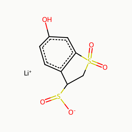 O=S([O-])C1CS(=O)(=O)c2cc(O)ccc21.[Li+]